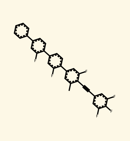 Cc1cc(-c2ccc(-c3ccc(-c4ccccc4)cc3F)cc2F)cc(F)c1C#Cc1cc(F)c(F)c(F)c1